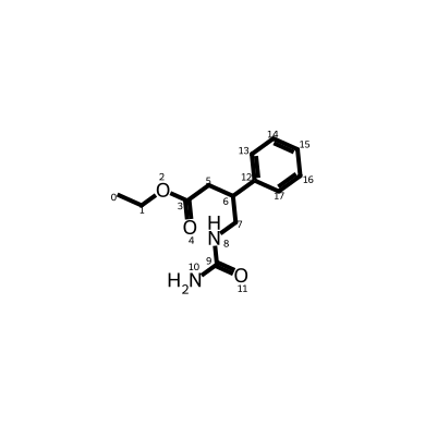 CCOC(=O)CC(CNC(N)=O)c1ccccc1